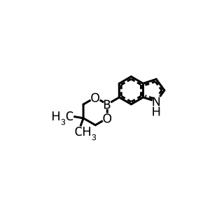 CC1(C)COB(c2ccc3cc[nH]c3c2)OC1